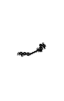 O=C1CCC(c2ccc(C3CCN(CCCCCCCCNC(=O)c4cnn5ccc(N6CCC[C@@H]6c6cc(F)ccc6F)nc45)CC3)cc2)C(=O)N1